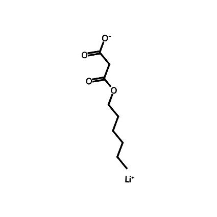 CCCCCCOC(=O)CC(=O)[O-].[Li+]